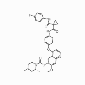 COc1cc2nccc(Oc3ccc(NC(=O)C4(C(=O)Nc5ccc(F)cc5)CC4)cc3)c2cc1OC(=O)N1CCN(C)C[C@H]1C